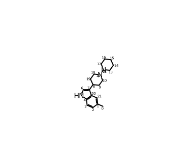 Cc1ccc2[nH]cc(C3CCN(N4CCCCC4)CC3)c2c1